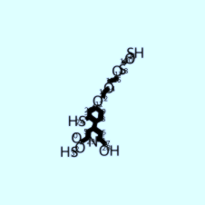 O=C(OS)c1cc(-c2ccc(OCCOCCOSCOS)cc2S)cc(CO)n1